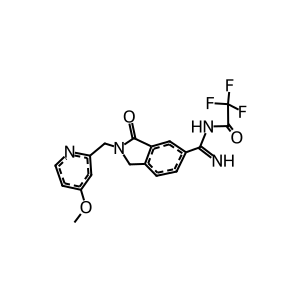 COc1ccnc(CN2Cc3ccc(C(=N)NC(=O)C(F)(F)F)cc3C2=O)c1